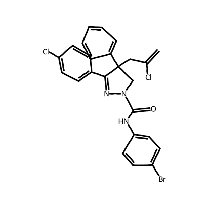 C=C(Cl)CC1(c2ccccc2)CN(C(=O)Nc2ccc(Br)cc2)N=C1c1ccc(Cl)cc1